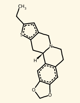 CCc1cc2c(s1)C[C@H]1c3cc4c(cc3CCN1C2)OCO4